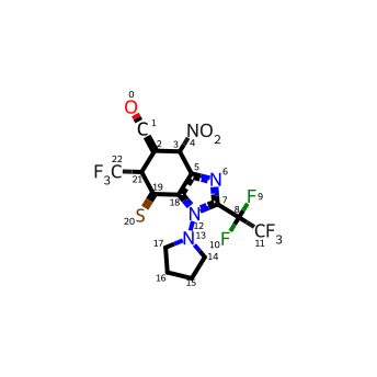 O=C=C1C([N+](=O)[O-])c2nc(C(F)(F)C(F)(F)F)n(N3CCCC3)c2C(=S)C1C(F)(F)F